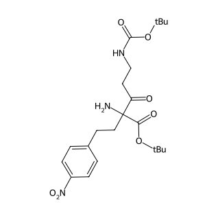 CC(C)(C)OC(=O)NCCC(=O)C(N)(CCc1ccc([N+](=O)[O-])cc1)C(=O)OC(C)(C)C